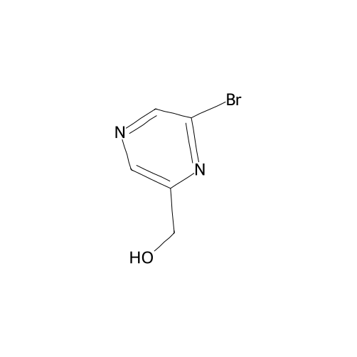 OCc1cncc(Br)n1